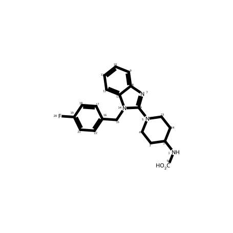 O=C(O)NC1CCN(c2nc3ccccc3n2Cc2ccc(F)cc2)CC1